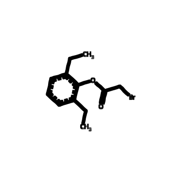 CCc1cccc(CC)c1OC(=O)CBr